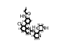 C=CC(=O)Nc1cccc(-c2c(Cl)ccc3cnc(Nc4cccnc4C4CNCCO4)nc23)c1